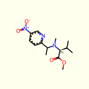 COC(=O)[C@H](C(C)C)N(C)C(C)c1ccc([N+](=O)[O-])cn1